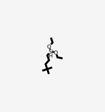 CCO[SiH](CCCC(C)(C)C)OCC